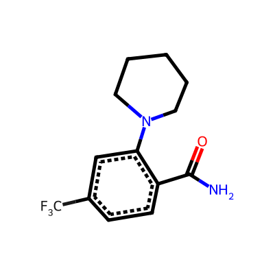 NC(=O)c1ccc(C(F)(F)F)cc1N1CCCCC1